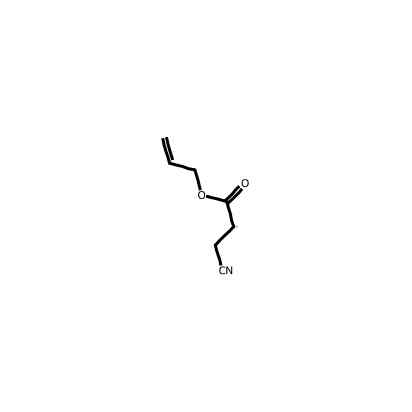 C=CCOC(=O)[CH]CC#N